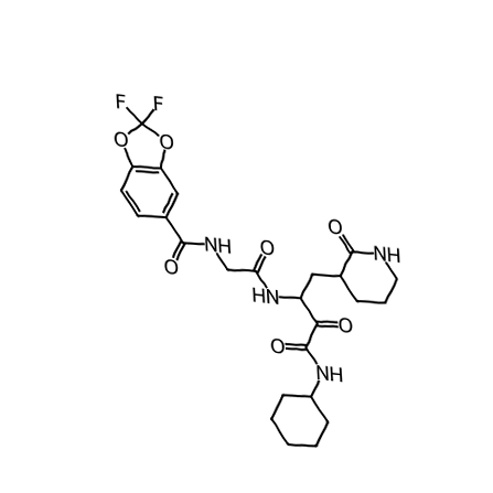 O=C(CNC(=O)c1ccc2c(c1)OC(F)(F)O2)NC(CC1CCCNC1=O)C(=O)C(=O)NC1CCCCC1